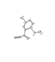 CNC(=O)c1cc(Cl)ccc1OC(F)(F)F